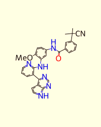 COc1ccc(NC(=O)c2cccc(C(C)(C)C#N)c2)cc1Nc1ncccc1-c1ncnc2[nH]ccc12